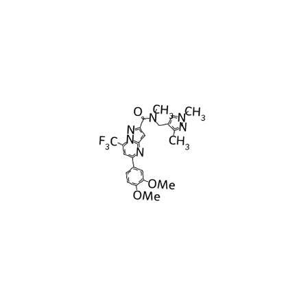 COc1ccc(-c2cc(C(F)(F)F)n3nc(C(=O)N(C)Cc4cn(C)nc4C)cc3n2)cc1OC